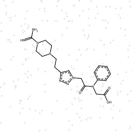 N=C(N)N1CCN(CCc2cn(CC(=O)N(CC(=O)O)c3ccccc3)nn2)CC1